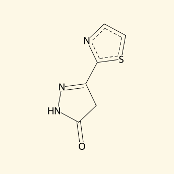 O=C1CC(c2nccs2)=NN1